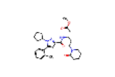 CC(C)(C)OC(=O)C[C@H](CCN1CCCCC1=O)NC(=O)c1cc(-c2ccccc2C(F)(F)F)n(C2CCCC2)n1